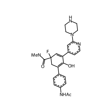 CNC(=O)C1(F)C=C(c2ccnc(N3CCNCC3)c2)C(O)=C(c2ccc(NC(C)=O)cc2)C1